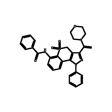 C=C(c1nn(-c2ccccc2)c2c1CS(=O)(=O)c1c(NC(=O)c3ccccc3)cccc1-2)N1CCOCC1